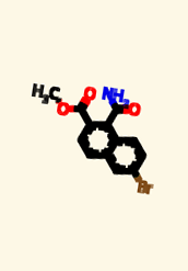 COC(=O)c1ccc2cc(Br)ccc2c1C(N)=O